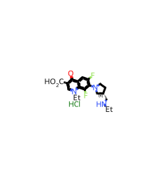 CCNC[C@H]1CCN(c2c(F)cc3c(=O)c(C(=O)O)cn(CC)c3c2F)C1.Cl